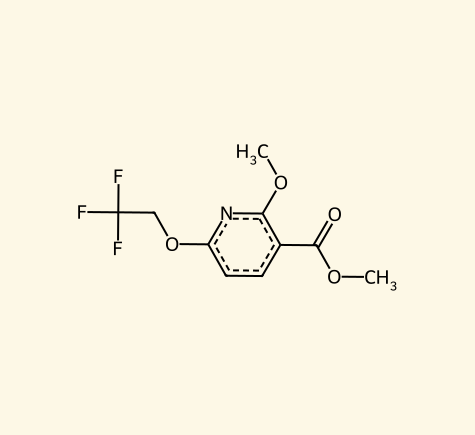 COC(=O)c1ccc(OCC(F)(F)F)nc1OC